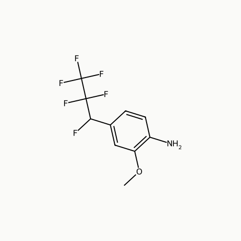 COc1cc(C(F)C(F)(F)C(F)(F)F)ccc1N